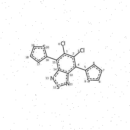 Clc1c(Cl)c(-c2cccs2)c2nsnc2c1-c1cccs1